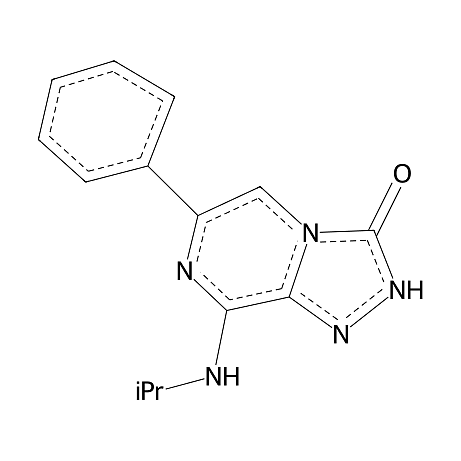 CC(C)Nc1nc(-c2ccccc2)cn2c(=O)[nH]nc12